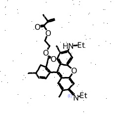 C=C(C)C(=O)OCCOC(=O)C1=C(c2c3cc(C)/c(=N/CC)cc-3oc3cc(NCC)c(C)cc23)C=CC(C)C1